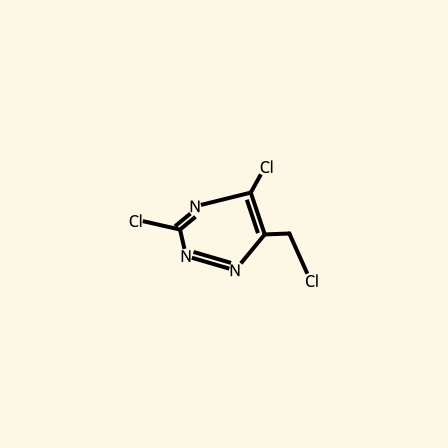 ClCc1nnc(Cl)nc1Cl